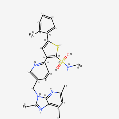 CCc1nc2c(C)cc(C)nc2n1Cc1ccc(-c2cc(-c3ccccc3C(F)(F)F)sc2S(=O)(=O)NC(C)(C)C)nc1